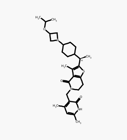 Cc1cc(C)c(CN2CCc3sc([C@H](C)C4CCC(N5CC(OC(C)C)C5)CC4)c(C)c3C2=O)c(=O)[nH]1